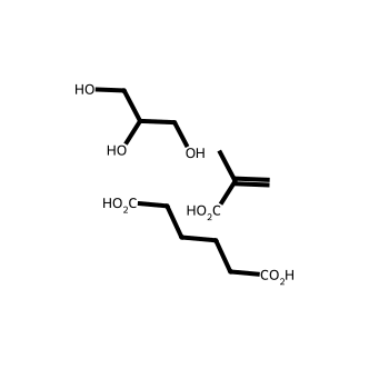 C=C(C)C(=O)O.O=C(O)CCCCC(=O)O.OCC(O)CO